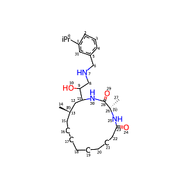 CC(C)c1cccc(CNCC(O)C2C[C@H](C)CCCCCCCCC(=O)N[C@@H](C)C(=O)N2)c1